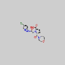 O=C(Cn1c(C(=O)O)ccc1C(=O)N1CCCOCC1)Nc1ccc(Cl)cn1